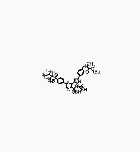 [2H]C([2H])C([2H])(C([2H])[2H])S(=O)(=O)c1ccc(-c2cnc(C3(/N=C4\BO4)BO3)c(-c3cc(-c4ccc(CN(C)C(=O)OC(C)(C)C)cc4)no3)n2)cc1